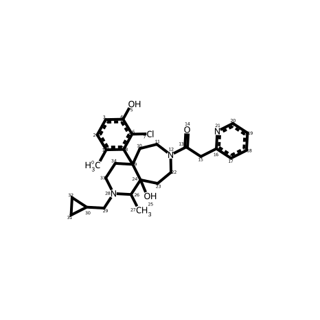 Cc1ccc(O)c(Cl)c1C12CCN(C(=O)Cc3ccccn3)CCC1(O)C(C)N(CC1CC1)CC2